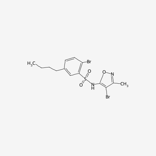 CCCCc1ccc(Br)c(S(=O)(=O)Nc2onc(C)c2Br)c1